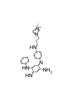 C[n+]1ccn(CCCNc2ccc(N=C3C=C(Nc4ccccc4)C(=N)C=C3N)cc2)c1